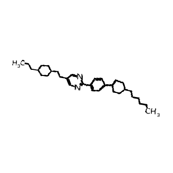 CCCCCCC1CCC(c2ccc(-c3ncc(CCC4CCC(CCC)CC4)cn3)cc2)CC1